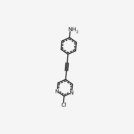 Nc1ccc(C#Cc2cnc(Cl)nc2)cc1